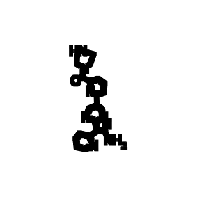 Nc1nn2cc(-c3cccc(C(=O)N4CCNCC4)n3)cnc2c1-c1ccccn1